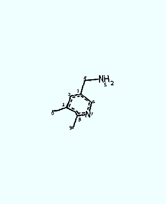 Cc1cc(CN)cnc1C